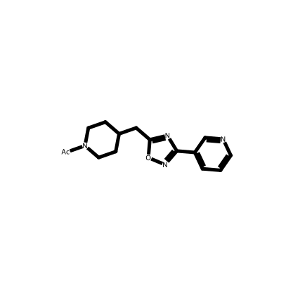 CC(=O)N1CCC(Cc2nc(-c3cccnc3)no2)CC1